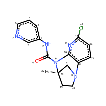 O=C(Nc1cccnc1)N1c2nc(Cl)ccc2N2CC[C@@H]1C2